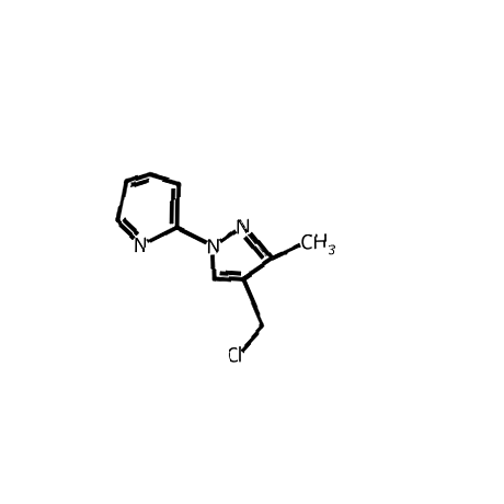 Cc1nn(-c2ccccn2)cc1CCl